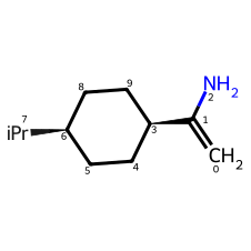 C=C(N)[C@H]1CC[C@@H](C(C)C)CC1